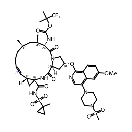 COc1ccc2c(O[C@@H]3C[C@H]4C(=O)N[C@]5(C(=O)NS(=O)(=O)C6(C)CC6)C[C@@H]5/C=C\CC[C@@H](C)C[C@@H](C)[C@H](NC(=O)OC(C)(C)C(F)(F)F)C(=O)N4C3)ncc(N3CCN(S(C)(=O)=O)CC3)c2c1